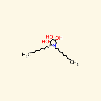 CCCCCCCCC[C@@H]1C(O)C(O)[C@H](O)CN1CCCCCCCCC